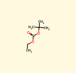 CCO[Si](=O)OC(C)(C)C